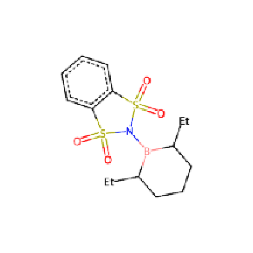 CCC1CCCC(CC)B1N1S(=O)(=O)c2ccccc2S1(=O)=O